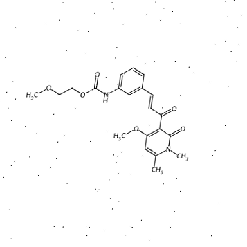 COCCOC(=O)Nc1cccc(/C=C/C(=O)c2c(OC)cc(C)n(C)c2=O)c1